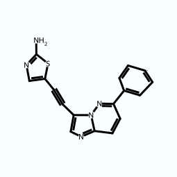 Nc1ncc(C#Cc2cnc3ccc(-c4cc[c]cc4)nn23)s1